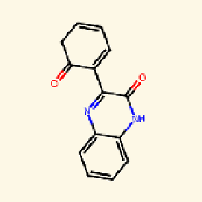 O=C1CC=CC=C1c1nc2ccccc2[nH]c1=O